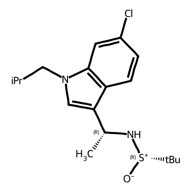 CC(C)Cn1cc([C@@H](C)N[S@@+]([O-])C(C)(C)C)c2ccc(Cl)cc21